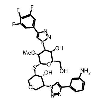 CO[C@@H]1[C@@H](n2cc(-c3cc(F)c(F)c(F)c3)nn2)[C@@H](O)[C@@H](CO)O[C@H]1S[C@@H]1COC[C@H](n2cc(-c3cccc(N)c3)nn2)[C@H]1O